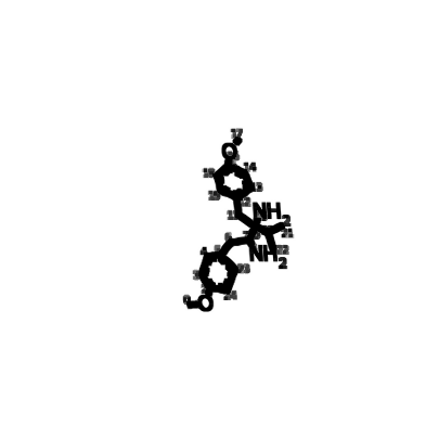 COc1ccc(CC(N)C(N)(Cc2ccc(OC)cc2)C(C)C)cc1